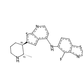 C[C@@H]1NCCC[C@H]1c1cc2c(Nc3ccc4scnc4c3F)ccnc2s1